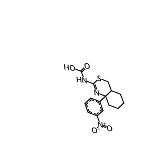 O=C(O)NC1=NC2(c3cccc([N+](=O)[O-])c3)CCCCC2CS1